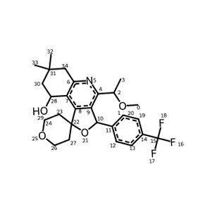 COC(C)c1nc2c(c3c1C(c1ccc(C(F)(F)F)cc1)OC31CCOCC1)C(O)CC(C)(C)C2